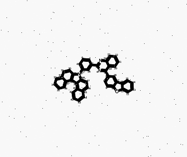 c1cc(-c2nc(-c3ccc4oc5ccccc5c4c3)c3ccccc3n2)cc(-n2c3ccc4ccccc4c3c3c4ccccc4ccc32)c1